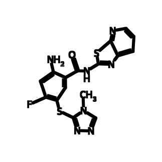 Cn1cnnc1Sc1cc(C(=O)Nc2nc3cccnc3s2)c(N)cc1F